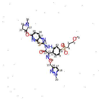 COCCCS(=O)(=O)c1ccc(/C(=N\OCc2ccn(C)n2)C(=O)Nc2nc3ccc(O[C@H]4CCN(C)C4)nc3s2)cc1